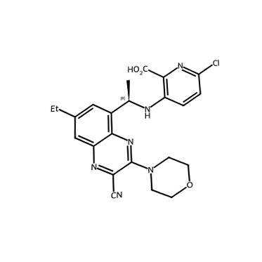 CCc1cc([C@@H](C)Nc2ccc(Cl)nc2C(=O)O)c2nc(N3CCOCC3)c(C#N)nc2c1